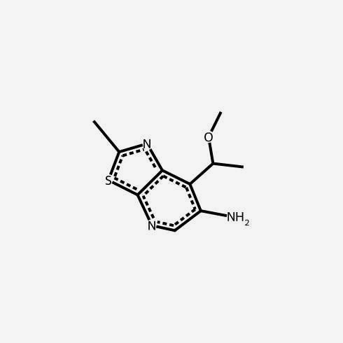 COC(C)c1c(N)cnc2sc(C)nc12